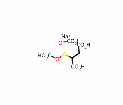 O=C(O)CC(SOC(=O)O)C(=O)O.O=C([O-])O.[Na+]